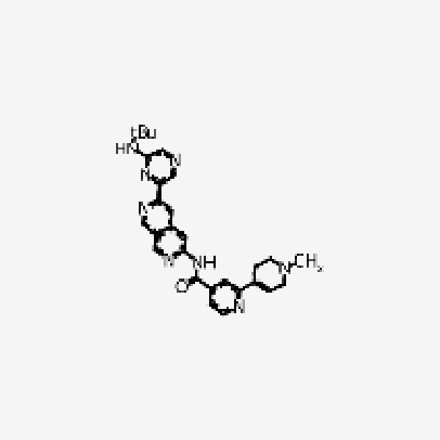 CN1CC=C(c2cc(C(=O)Nc3cc4cc(-c5cncc(NC(C)(C)C)n5)ncc4cn3)ccn2)CC1